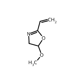 C=CC1=NCC(OC)O1